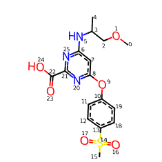 COCC(C)Nc1cc(Oc2ccc(S(C)(=O)=O)cc2)nc(C(=O)O)n1